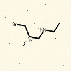 CCNC[C@H](C)CBr